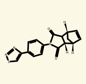 O=C1C2[C@@H]3C=C[C@@H](C3)[C@@H]2C(=O)N1c1ccc(-c2csnn2)cc1